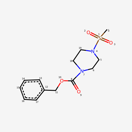 [CH2]S(=O)(=O)N1CCN(C(=O)OCc2ccccc2)CC1